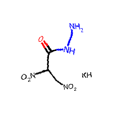 NNC(=O)C([N+](=O)[O-])[N+](=O)[O-].[KH]